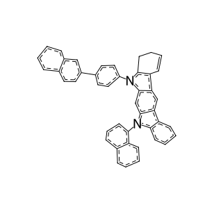 C1=Cc2c(n(-c3ccc(-c4ccc5ccccc5c4)cc3)c3cc4c(cc23)c2ccccc2n4-c2cccc3ccccc23)CC1